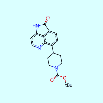 CC(C)(C)OC(=O)N1CCC(c2ccc3c4c(ccnc24)NC3=O)CC1